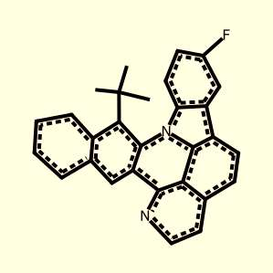 CC(C)(C)c1c2ccccc2cc2c3nccc4ccc5c6cc(F)ccc6n(c12)c5c43